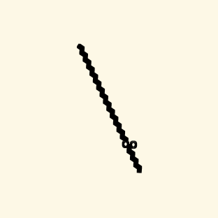 CCCCCCCCCCCCCCCCCCCCCCCCCCCCOC(=O)CCCCCCC